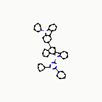 c1ccc(-c2nc(-c3ccccc3)nc(-n3c4ccccc4c4cc(-c5ccc6c(c5)c5ccccc5n6-c5ccccc5)c5ccccc5c43)n2)cc1